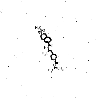 CC(CC1CCN(C(=O)OC(C)C)CC1)NC(=O)c1ccc2c(c1)CCN(S(C)(=O)=O)C2